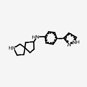 c1cc(-c2ccc(NC3CCC4(CCNC4)C3)cc2)n[nH]1